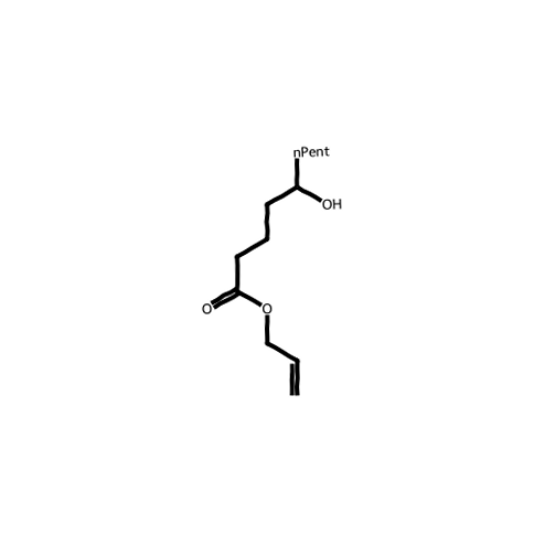 C=CCOC(=O)CCCC(O)CCCCC